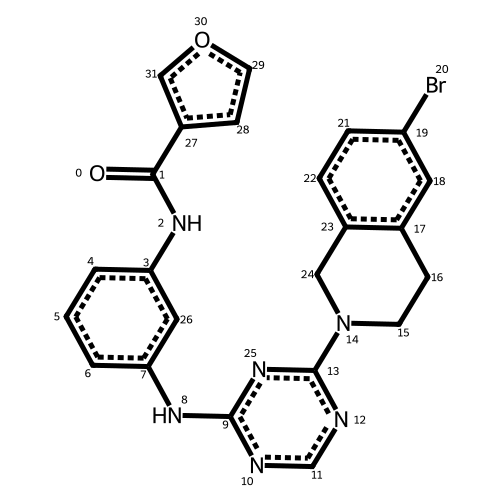 O=C(Nc1cccc(Nc2ncnc(N3CCc4cc(Br)ccc4C3)n2)c1)c1ccoc1